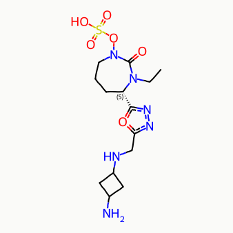 CCN1C(=O)N(OS(=O)(=O)O)CCC[C@H]1c1nnc(CNC2CC(N)C2)o1